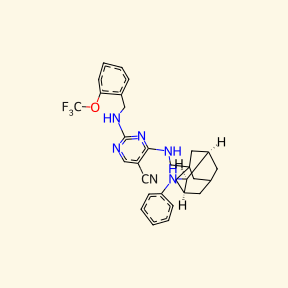 N#Cc1cnc(NCc2ccccc2OC(F)(F)F)nc1NCC12CC3C[C@H](C1)[C@H](Nc1ccccc1)[C@@H](C3)C2